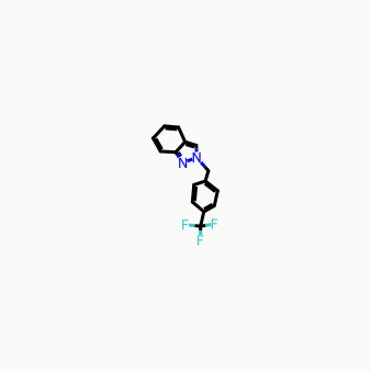 FC(F)(F)c1ccc(Cn2cc3ccccc3n2)cc1